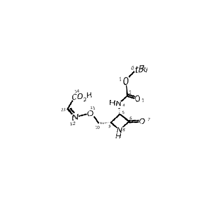 CC(C)(C)OC(=O)N[C@@H]1C(=O)N[C@@H]1CO/N=C\C(=O)O